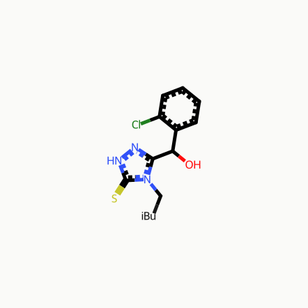 CCC(C)Cn1c(C(O)c2ccccc2Cl)n[nH]c1=S